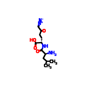 CC(C)C[C@H](N)C(=O)N[C@@H](CCC(=O)C=[N+]=[N-])C(=O)O